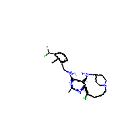 Cc1nc(NCc2cccc(C(F)F)c2C)c2/c(n1)=C(/Br)CCCN1CCC(CC1)N/C=2